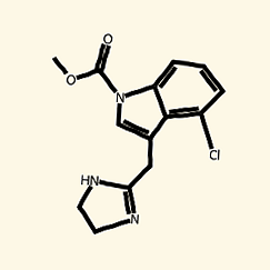 COC(=O)n1cc(CC2=NCCN2)c2c(Cl)cccc21